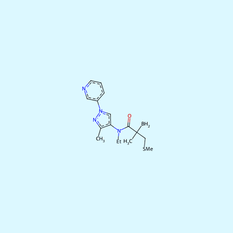 BC(C)(CSC)C(=O)N(CC)c1cn(-c2cccnc2)nc1C